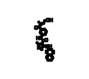 Cc1nsc(Nc2cnc3ccccc3n2)c1C(=O)Nc1cccc(C(=O)N(C)CCO)c1